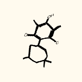 Cc1c(O)c(C)c(Cl)c(C2CC(C)CC(C)(C)C2)c1Cl